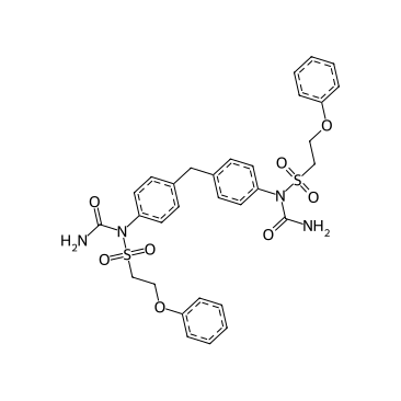 NC(=O)N(c1ccc(Cc2ccc(N(C(N)=O)S(=O)(=O)CCOc3ccccc3)cc2)cc1)S(=O)(=O)CCOc1ccccc1